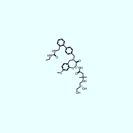 CCNC(=O)NCc1ccccc1-c1ccc(CN2Cc3ccc(SC)cc3S[C@@H](NC(=O)CC(C)(C)NC[C@H](O)CO)C2=O)cc1